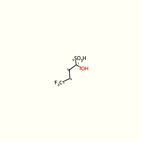 O=S(=O)(O)C(O)CCC(F)(F)F